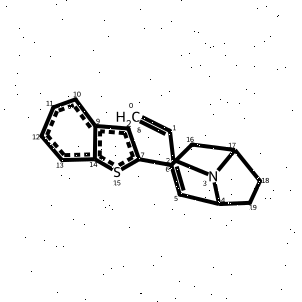 C=CCN1C2C=C(c3cc4ccccc4s3)CC1CC2